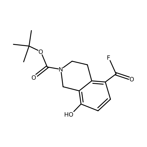 CC(C)(C)OC(=O)N1CCc2c(C(=O)F)ccc(O)c2C1